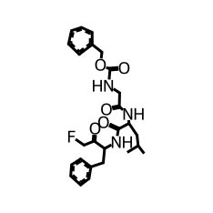 CC(C)CC(NC(=O)CNC(=O)OCc1ccccc1)C(=O)NC(Cc1ccccc1)C(=O)CF